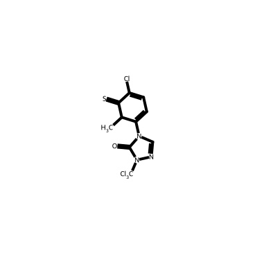 CC1C(=S)C(Cl)=CC=C1n1cnn(C(Cl)(Cl)Cl)c1=O